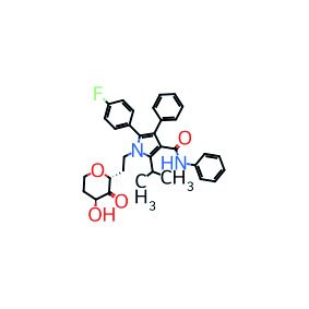 CC(C)c1c(C(=O)Nc2ccccc2)c(-c2ccccc2)c(-c2ccc(F)cc2)n1CC[C@H]1OCC[C@H](O)C1=O